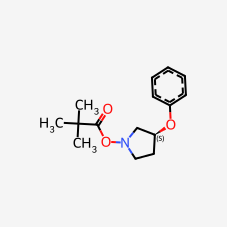 CC(C)(C)C(=O)ON1CC[C@H](Oc2ccccc2)C1